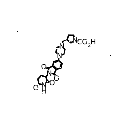 O=C1CCC(N2C(=O)c3ccc(N4CCN(C[C@H]5CCN(C(=O)O)C5)CC4)cc3C2=O)C(=O)N1